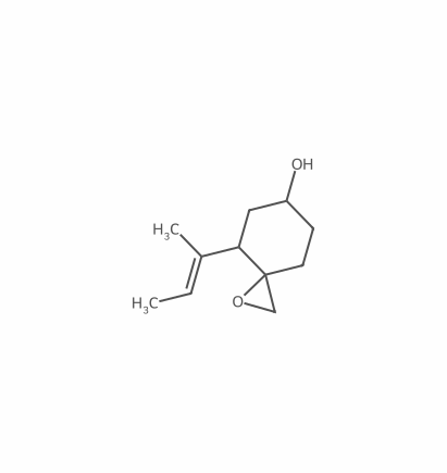 CC=C(C)C1CC(O)CCC12CO2